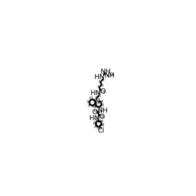 N=C(N)NCCCCC(=O)NCCN1CCC(NC(=O)C(=O)Nc2ccc(Cl)cc2)CC12CCCCC2